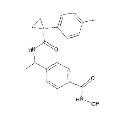 Cc1ccc(C2(C(=O)NC(C)c3ccc(C(=O)NO)cc3)CC2)cc1